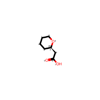 O=C(O)C[C@H]1CCCCO1